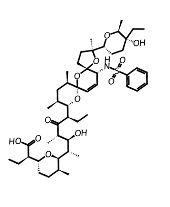 CC[C@@H](C(=O)[C@@H](C)[C@@H](O)[C@H](C)[C@@H]1O[C@@H]([C@@H](CC)C(=O)O)CC[C@@H]1C)[C@H]1O[C@]2(C=C[C@@H](NS(=O)(=O)c3ccccc3)[C@]3(CC[C@@](C)([C@H]4CC[C@](O)(CC)[C@H](C)O4)O3)O2)[C@H](C)C[C@@H]1C